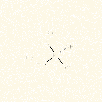 O.O.[NH2][Pd]([NH2])([NH2])[NH2]